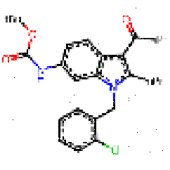 CCCc1c(C(=O)C(C)C)c2ccc(NC(=O)OC(C)(C)C)cc2n1Cc1ccccc1Cl